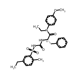 CCc1ccc(C)c(S(=O)(=O)NC(=O)N[C@@H](Cc2ccccc2)C(=O)N(CC)c2ccc(OC)cc2)c1